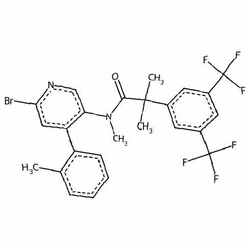 Cc1ccccc1-c1cc(Br)ncc1N(C)C(=O)C(C)(C)c1cc(C(F)(F)F)cc(C(F)(F)F)c1